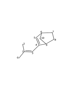 CC(C)=CC1=CC2CCC1C2